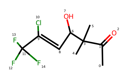 CC(=O)C(C)(C)C(O)/C=C(\Cl)C(F)(F)F